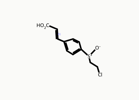 O=C(O)/C=C/c1ccc([S+]([O-])CCCl)cc1